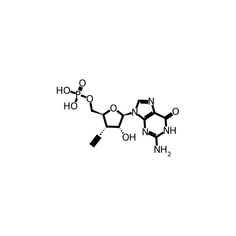 C#C[C@H]1[C@@H](O)[C@H](n2cnc3c(=O)[nH]c(N)nc32)O[C@@H]1COP(=O)(O)O